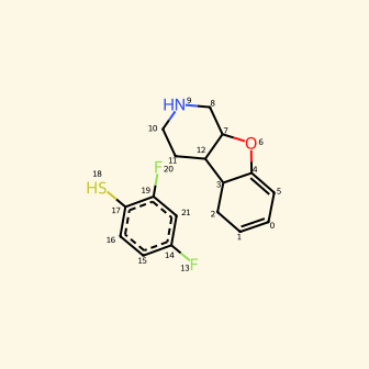 C1=CCC2C(=C1)OC1CNCCC12.Fc1ccc(S)c(F)c1